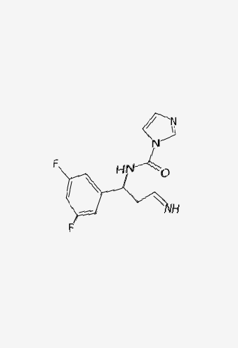 N=CCC(NC(=O)n1ccnc1)c1cc(F)cc(F)c1